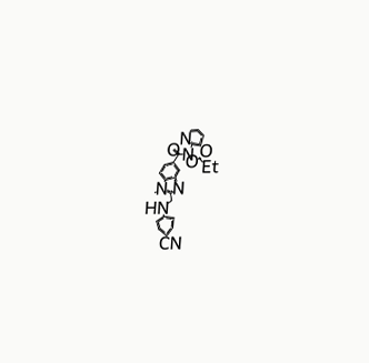 CCC(=O)ON(C(=O)c1ccc2c(c1)nc(CNc1ccc(C#N)cc1)n2C)c1ccccn1